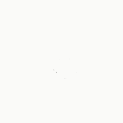 CC1SC(c2ccccc2)=NC1=S